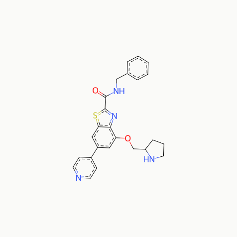 O=C(NCc1ccccc1)c1nc2c(OCC3CCCN3)cc(-c3ccncc3)cc2s1